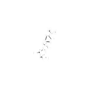 C[C@@H](CNS(=O)(=O)c1ccc([N+](=O)[O-])cc1)N(C)C(=O)O